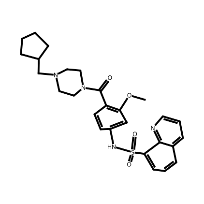 COc1cc(NS(=O)(=O)c2cccc3cccnc23)ccc1C(=O)N1CCN(CC2CCCC2)CC1